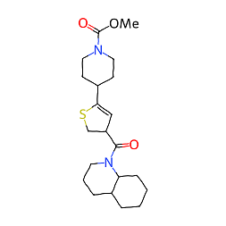 COC(=O)N1CCC(C2=CC(C(=O)N3CCCC4CCCCC43)CS2)CC1